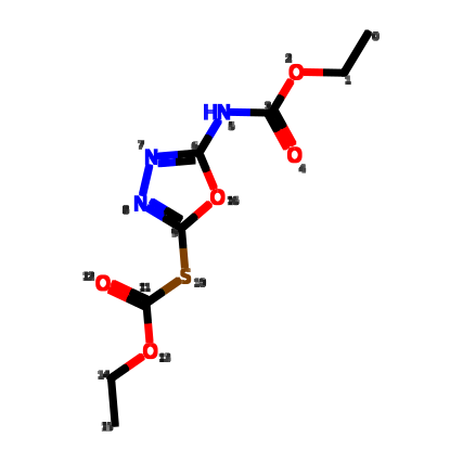 CCOC(=O)Nc1nnc(SC(=O)OCC)o1